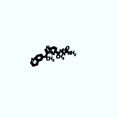 CC(=NNC(N)=O)c1ccc2ncc(C(C)c3ccc4ncccc4c3)n2n1